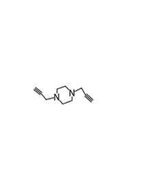 C#CCN1CCN(CC#C)CC1